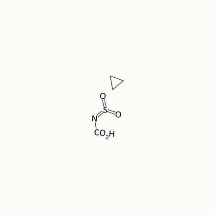 C1CC1.O=C(O)N=S(=O)=O